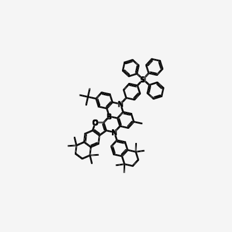 Cc1cc2c3c(c1)N(C1C=CC([Si](c4ccccc4)(c4ccccc4)c4ccccc4)=CC1)c1ccc(C(C)(C)C)cc1B3c1oc3cc4c(cc3c1N2c1ccc2c(c1)C(C)(C)CCC2(C)C)C(C)(C)CCC4(C)C